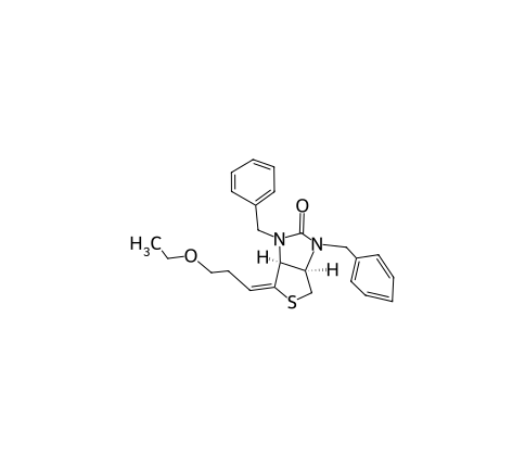 CCOCC/C=C1/SC[C@H]2[C@@H]1N(Cc1ccccc1)C(=O)N2Cc1ccccc1